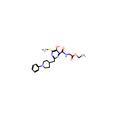 CCOC(=O)CNC(=O)c1nc(CC2CCN(c3ccccc3)CC2)nc(SC)c1O